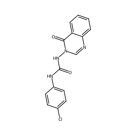 O=C(Nc1ccc(Cl)cc1)Nn1cnc2ccccc2c1=O